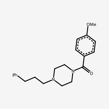 COc1ccc(C(=O)N2CCN(CCCC(C)C)CC2)cc1